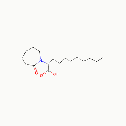 CCCCCCCCCC(C(=O)O)N1CCCCCC1=O